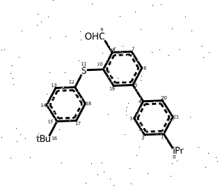 CC(C)c1ccc(-c2ccc(C=O)c(Sc3ccc(C(C)(C)C)cc3)c2)cc1